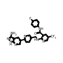 Nc1n[nH]c2ncc(-c3ccc(CNc4ncc(C(F)(F)F)cc4C(=O)Nc4ccc(F)cc4)cn3)cc12